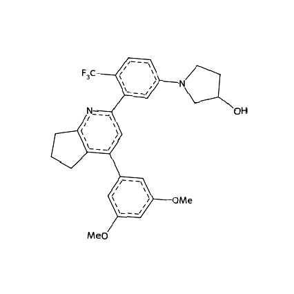 COc1cc(OC)cc(-c2cc(-c3cc(N4CCC(O)C4)ccc3C(F)(F)F)nc3c2CCC3)c1